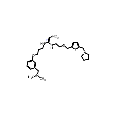 CN(C)Cc1cccc(OCCCN/C(=C/[N+](=O)[O-])NCCSCc2ccc(CN3CCCC3)s2)c1